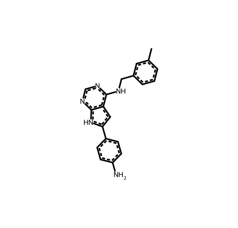 Cc1cccc(CNc2ncnc3[nH]c(-c4ccc(N)cc4)cc23)c1